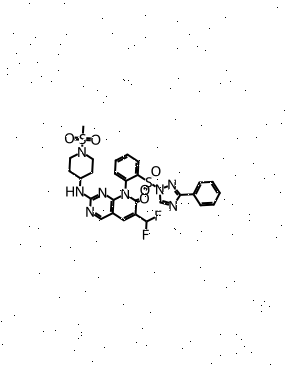 CS(=O)(=O)N1CCC(Nc2ncc3cc(C(F)F)c(=O)n(-c4ccccc4S(=O)(=O)n4cnc(-c5ccccc5)n4)c3n2)CC1